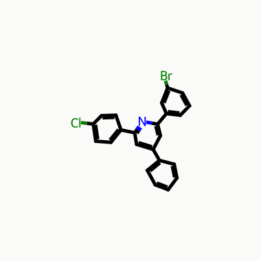 Clc1ccc(-c2cc(-c3ccccc3)cc(-c3cccc(Br)c3)n2)cc1